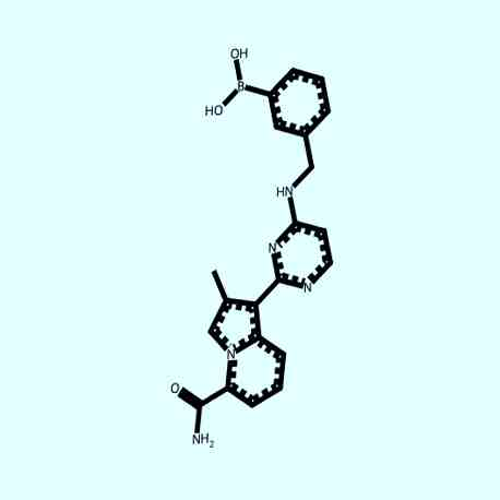 Cc1cn2c(C(N)=O)cccc2c1-c1nccc(NCc2cccc(B(O)O)c2)n1